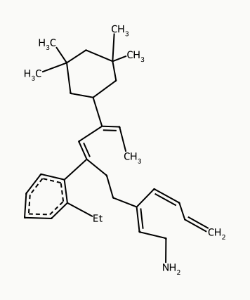 C=C/C=C\C(=C/CN)CC/C(=C\C(=C/C)C1CC(C)(C)CC(C)(C)C1)c1ccccc1CC